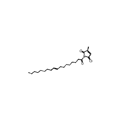 CCCCCCCCC=CCCCCCCCC(=O)N1C(=O)C=C(C)C1=O